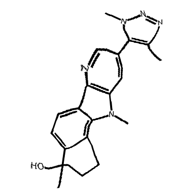 Cc1nnn(C)c1-c1cnc2c3ccc4c(c3n(C)c2c1)CCC4(C)O